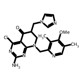 COc1c(C)cnc(CN2CC(Cn3ccnc3)C(=O)c3c(Cl)nc(N)nc32)c1C